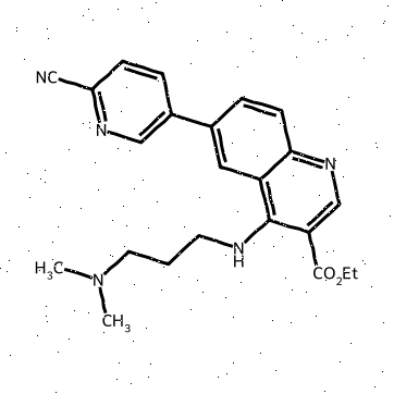 CCOC(=O)c1cnc2ccc(-c3ccc(C#N)nc3)cc2c1NCCCN(C)C